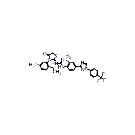 CCc1ccc(C)cc1N1C(=O)CS/C1=N\C(=O)Nc1ccc(-c2ncn(-c3ccc(C(F)(F)F)cc3)n2)cc1C